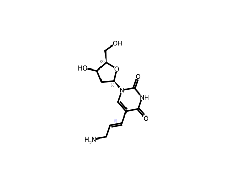 NC/C=C/c1cn([C@H]2CC(O)[C@@H](CO)O2)c(=O)[nH]c1=O